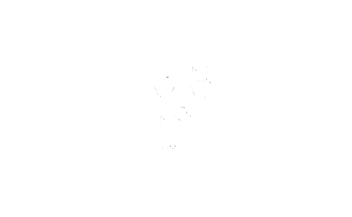 COc1cnc2c(-c3cccc(Cl)n3)c(-c3ccnc(NC(C)=O)c3)[nH]c2c1